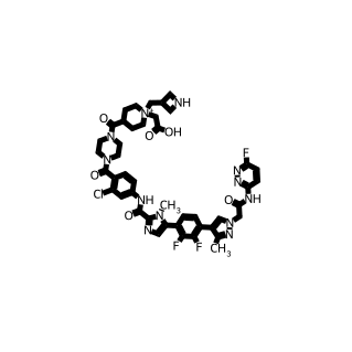 Cc1nn(CC(=O)Nc2ccc(F)nn2)cc1-c1ccc(-c2cnc(C(=O)Nc3ccc(C(=O)N4CCN(C(=O)C5CC[N+](CC(=O)O)(CC6CNC6)CC5)CC4)c(Cl)c3)n2C)c(F)c1F